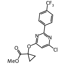 COC(=O)C1(Oc2cc(Cl)nc(-c3ccc(C(F)(F)F)cc3)n2)CC1